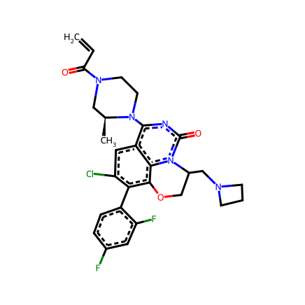 C=CC(=O)N1CCN(c2nc(=O)n3c4c(c(-c5ccc(F)cc5F)c(Cl)cc24)OCC3CN2CCC2)[C@@H](C)C1